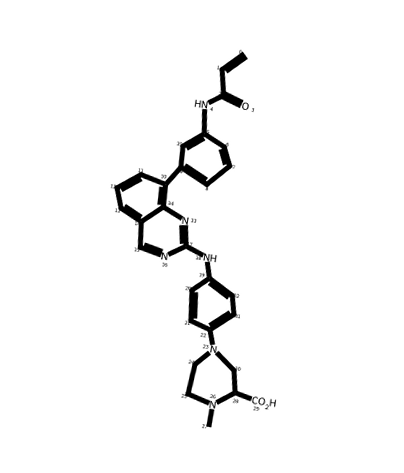 C=CC(=O)Nc1cccc(-c2cccc3cnc(Nc4ccc(N5CCN(C)C(C(=O)O)C5)cc4)nc23)c1